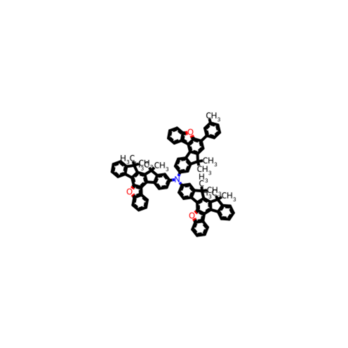 Cc1cccc(-c2cc3c(c4c2oc2ccccc24)-c2ccc(N(c4ccc5c(c4)C(C)(C)c4c6c(c7c(oc8ccccc87)c4-5)-c4ccccc4C6(C)C)c4ccc5c(c4)C(C)(C)c4c6c(c7oc8ccccc8c7c4-5)-c4ccccc4C6(C)C)cc2C3(C)C)c1